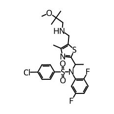 COC(C)(C)CNCc1sc(C(C)N(c2cc(F)ccc2F)S(=O)(=O)c2ccc(Cl)cc2)nc1C